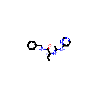 C/C=C(\N=C(/C)Nc1ccncn1)C(=O)NCc1ccccc1